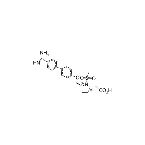 CS(=O)(=O)N1[C@H](COc2ccc(-c3ccc(C(=N)N)cc3)cc2)CC[C@H]1CC(=O)O